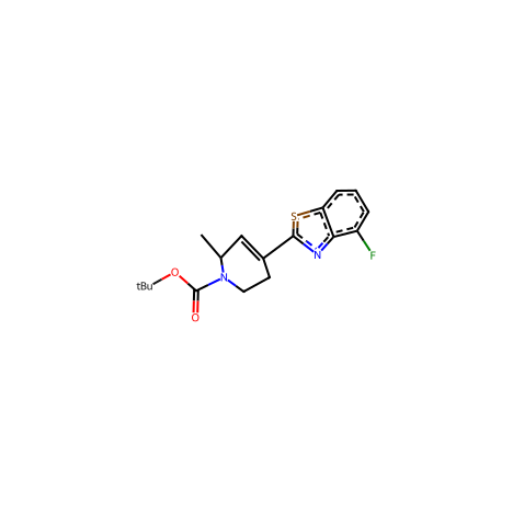 CC1C=C(c2nc3c(F)cccc3s2)CCN1C(=O)OC(C)(C)C